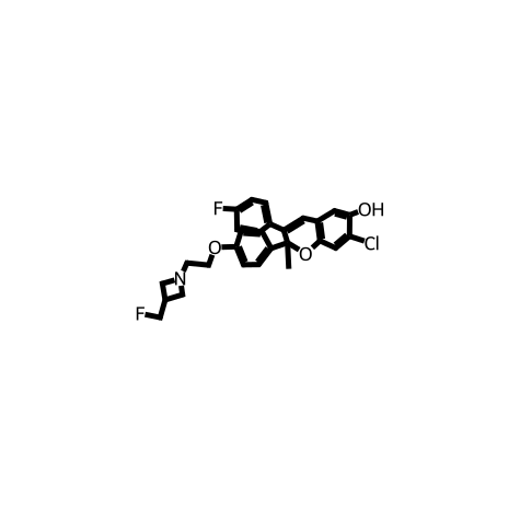 CC1(c2ccc(OCCN3CC(CF)C3)cc2)Oc2cc(Cl)c(O)cc2C=C1c1ccc(F)cc1